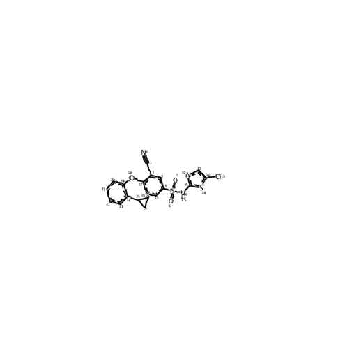 N#Cc1cc(S(=O)(=O)Nc2ncc(Cl)s2)ccc1Oc1ccccc1C1CC1